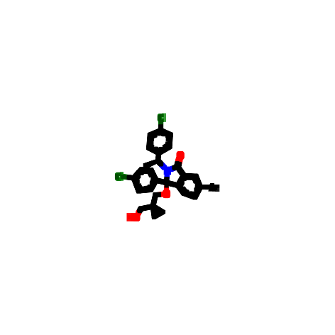 CC(=O)c1ccc2c(c1)C(=O)N([C@@H](C)c1ccc(Cl)cc1)[C@@]2(OCC1(CO)CC1)c1ccc(Cl)cc1